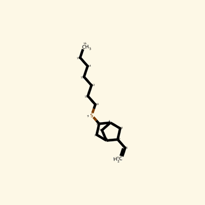 C=CC1CC2CC1CC2SCCCCCCC